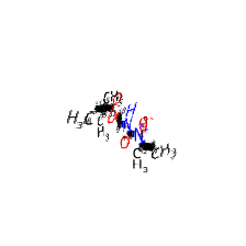 CC/C(C)=[N+](\[O-])C(=O)NCCOC(=O)C(C)(C)CC